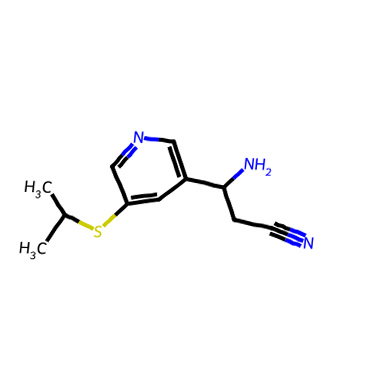 CC(C)Sc1cncc(C(N)CC#N)c1